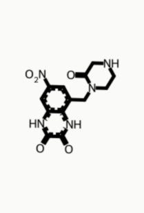 O=C1CNCCN1Cc1cc([N+](=O)[O-])cc2[nH]c(=O)c(=O)[nH]c12